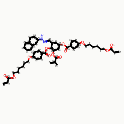 C=CC(=O)OCCCCCCOc1ccc(C(=O)Oc2cc(/C=N/Nc3ccc4ccccc4c3)c(OC(=O)c3ccc(OCCCCCCOC(=O)C=C)cc3)c(OC(=O)C(=C)C)c2)cc1